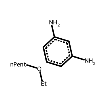 CCCCCOCC.Nc1cccc(N)c1